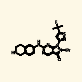 CC(C)n1c(=O)c2cnc(Nc3ccc4c(c3)CCNC4)nc2n1-c1cc(C(C)(C)F)sn1